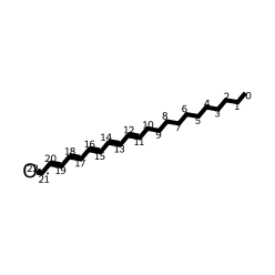 CCCCCCCCCCCC=CC=CC=CC=CC=C[C]=O